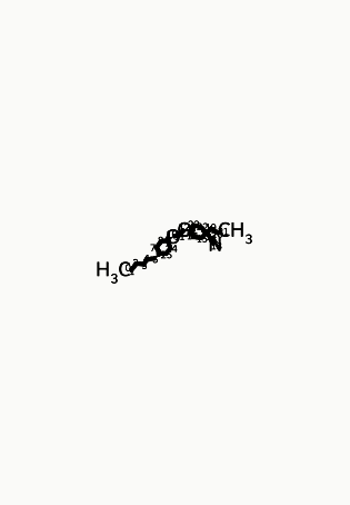 CCCCCC[C@H]1CC[C@H](OCO[C@H]2CC[C@@](C#N)(CCC)CC2)CC1